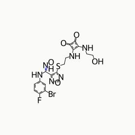 O=c1c(NCCO)c(NCCSc2nonc2/C(=N\O)Nc2ccc(F)c(Br)c2)c1=O